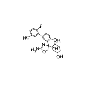 N#Cc1ccc(F)c(-c2ccc3c(c2)C2(COC(N)=N2)[C@H]2C[C@@H](O)CC[C@@H]2O3)c1